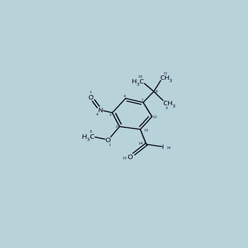 COc1c(N=O)cc(C(C)(C)C)cc1C(=O)I